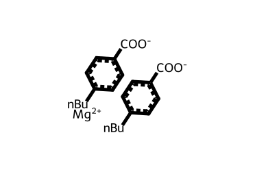 CCCCc1ccc(C(=O)[O-])cc1.CCCCc1ccc(C(=O)[O-])cc1.[Mg+2]